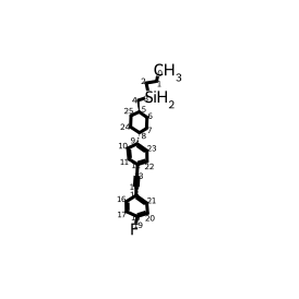 CCC[SiH2]C[C@H]1CC[C@H](c2ccc(C#Cc3ccc(F)cc3)cc2)CC1